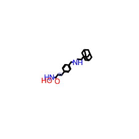 O=C(/C=C/c1ccc(CNCCC23CC4CC(CC(C4)C2)C3)cc1)NO